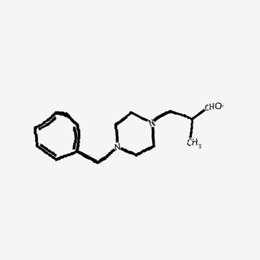 CC([C]=O)CN1CCN(Cc2ccccc2)CC1